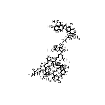 CCCN(CC(=O)N[C@@H](CC(C)C)C(=O)N1CCC[C@H]1C(=O)N[C@@H](CCCNC(=N)N)C(=O)N[C@H](C(=O)N[C@@H](CCCNC(=N)N)C(=O)N[C@@H](Cc1ccc(O)cc1)C(=O)O)C(C)(C)C)C(=O)[C@@H](NC(C)=O)C(C)(C)SSCCOC(=O)O[C@]1(CC)C(=O)OCc2c1cc1n(c2=O)Cc2c-1nc1ccc(O)cc1c2CC